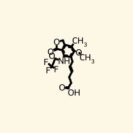 COc1c(C)c2c(c(NC(=O)C(F)(F)F)c1CC=CCCC(=O)O)C(=O)OC2